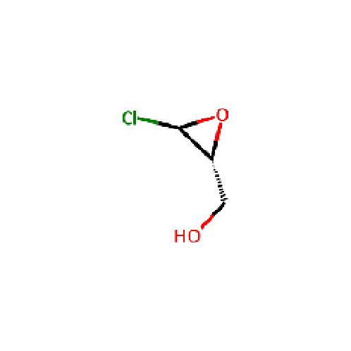 OC[C@H]1OC1Cl